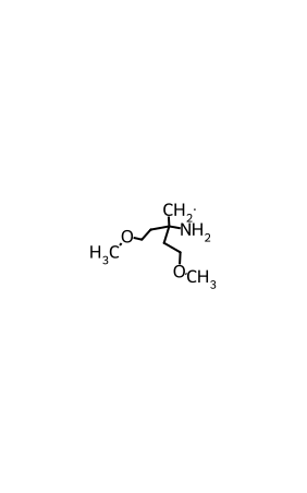 [CH2]C(N)(CCOC)CCOC